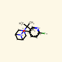 CC(C)(C)N1CC2CC(C1)N2Cc1ccc(F)nc1